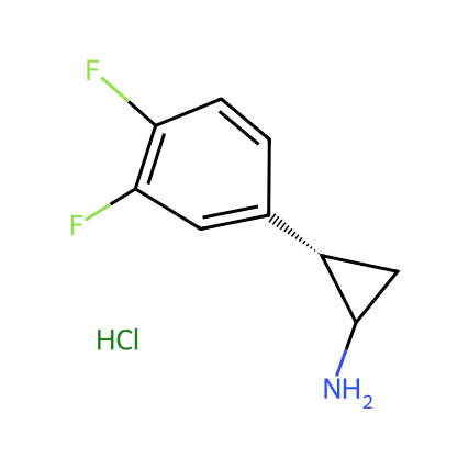 Cl.NC1C[C@H]1c1ccc(F)c(F)c1